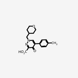 Cc1ccc(-c2cn(CC3CCOCC3)nc(C(=O)O)c2=O)cc1